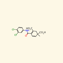 CC1(C(=O)O)C=CC(C(=O)Nc2ccc(Cl)c(Cl)c2)=C(C(=O)O)C1